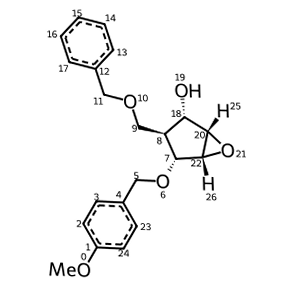 COc1ccc(CO[C@@H]2[C@@H](COCc3ccccc3)[C@H](O)[C@@H]3O[C@H]23)cc1